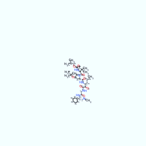 C=NC[C@@H](NC(=O)CNC(=O)C(=O)C(CCCC)NC(=O)[C@@H]1C[C@@H](OC(C)(C)C)CN1C(=O)[C@@H](NC(=O)OCC(C)C)C(C)(C)C)c1ccccc1